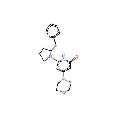 O=c1cc(N2CCOCC2)cc(N2CCCC2Cc2ccccc2)[nH]1